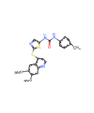 COc1cc2nccc(Sc3ncc(NC(=O)Nc4ccc(C)cc4)s3)c2cc1OC